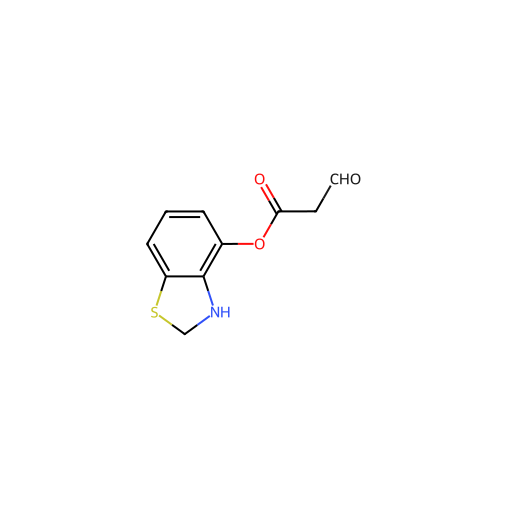 O=CCC(=O)Oc1cccc2c1NCS2